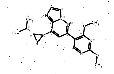 COc1ncc(-c2cc([C@H]3C[C@@H]3C(C)C)c3nccn3n2)c(OC)n1